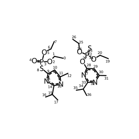 CCOP(=O)(OCC)Sc1cc(C)nc(C(C)C)n1.CCOP(=S)(OCC)Oc1cc(C)nc(C(C)C)n1